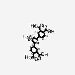 CNC.O=C(O)c1ccc(-c2ccc(-c3ccc(C(=O)O)c(C(=O)O)c3)s2)cc1C(=O)O